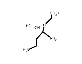 Cl.Cl.NCCC(N)OCC(=O)O